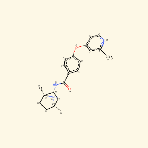 Cc1cc(Oc2ccc(C(=O)N[C@@H]3C[C@H]4CC[C@@H]3N4)cc2)ccn1